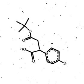 CC(C)(C)OC(=O)CC(C(=O)O)c1ccc(Br)cc1